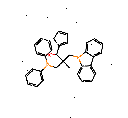 CC(CP(c1ccccc1)c1ccccc1)(Cp1c2ccccc2c2ccccc21)C(O)C1=CC=CC1